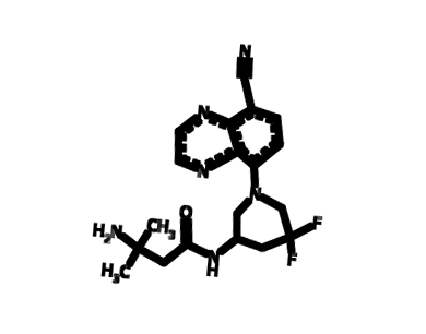 CC(C)(N)CC(=O)NC1CN(c2ccc(C#N)c3nccnc23)CC(F)(F)C1